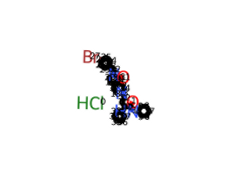 Cl.O=C(NC1CCCCC1)C(CCN1CCC2(CC1)CCN(Cc1ccc(Br)cc1)C2=O)c1ccccc1